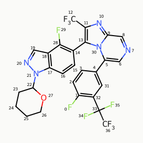 Fc1ccc(-c2cncc3nc(C(F)(F)F)c(-c4ccc5c(cnn5C5CCCCO5)c4F)n23)cc1C(F)(F)C(F)(F)F